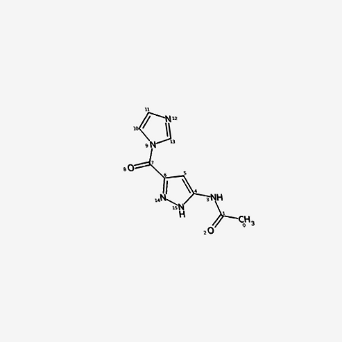 CC(=O)Nc1cc(C(=O)n2ccnc2)n[nH]1